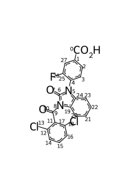 O=C(O)c1ccc(-n2c(=O)n(C(=O)c3c(Cl)cccc3Cl)c3ccccc32)c(F)c1